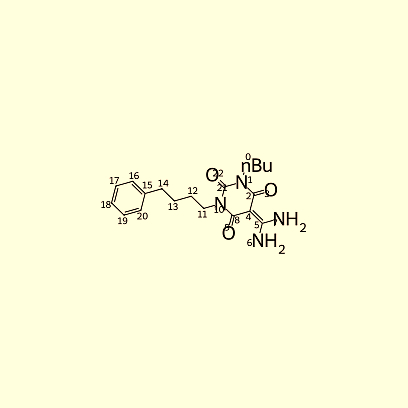 CCCCN1C(=O)C(=C(N)N)C(=O)N(CCCCc2ccccc2)C1=O